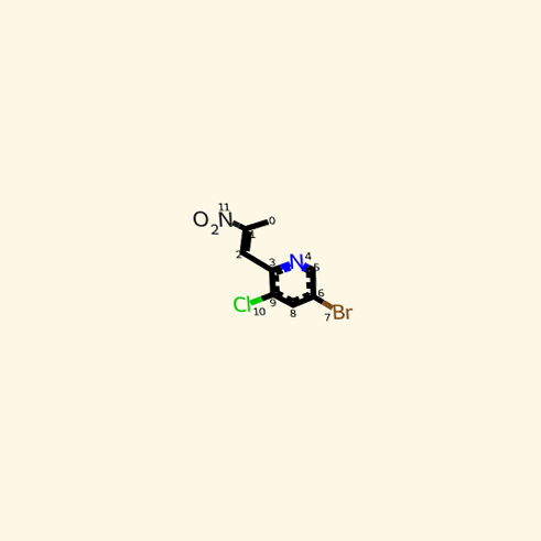 C/C(=C\c1ncc(Br)cc1Cl)[N+](=O)[O-]